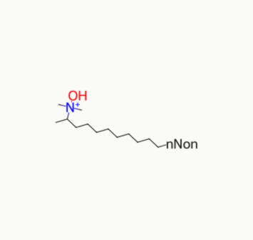 CCCCCCCCCCCCCCCCCCC(C)[N+](C)(C)O